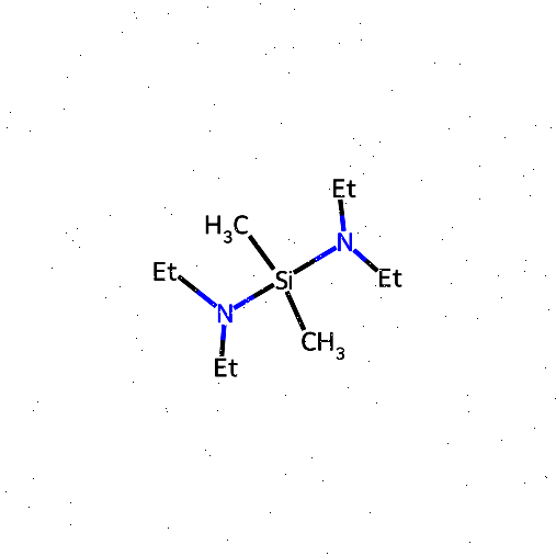 CCN(CC)[Si](C)(C)N(CC)CC